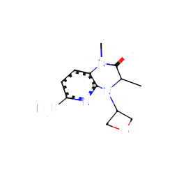 Bc1ccc2c(n1)N(C1COC1)C(C)C(=O)N2C